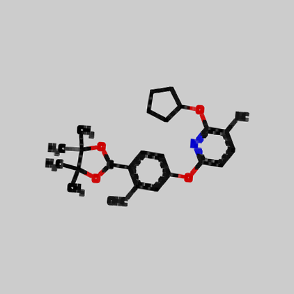 [C-]#[N+]c1ccc(Oc2ccc(B3OC(C)(C)C(C)(C)O3)c(C=O)c2)nc1OC1CCCC1